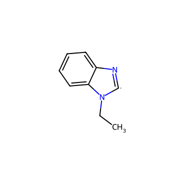 CCn1[c]nc2ccccc21